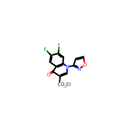 CCOC(=O)c1cn(-c2ccon2)c2cc(F)c(F)cc2c1=O